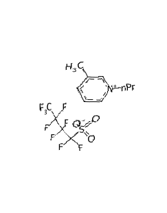 CCC[n+]1cccc(C)c1.O=S(=O)([O-])C(F)(F)C(F)(F)C(F)(F)C(F)(F)F